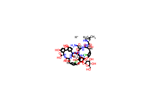 CN[C@H](CC(C)C)C(=O)N[C@H]1C(=O)N[C@@H](CC(N)=O)C(=O)N[C@H]2C(=O)N[C@H]3C(=O)N[C@H](C(=O)N[C@@H](C(=O)O)c4cc(O)cc(O)c4-c4cc3ccc4O)[C@H](O)c3ccc(c(Cl)c3)Oc3cc2cc(c3O[C@@H]2O[C@H](CO)[C@@H](O)[C@H](O)[C@H]2O[C@H]2C[C@](C)(N)C(O)[C@H](C)O2)Oc2ccc(cc2Cl)[C@H]1O.[H+]